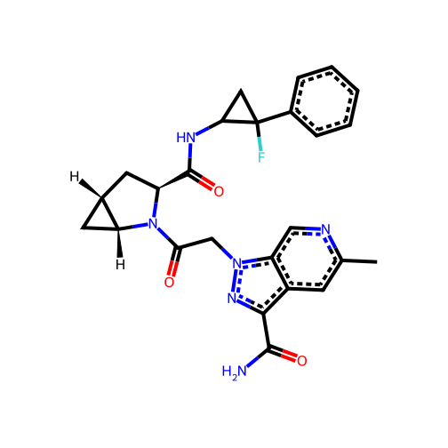 Cc1cc2c(C(N)=O)nn(CC(=O)N3[C@@H]4C[C@@H]4C[C@H]3C(=O)NC3CC3(F)c3ccccc3)c2cn1